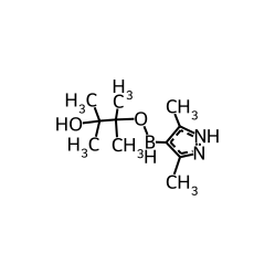 Cc1n[nH]c(C)c1BOC(C)(C)C(C)(C)O